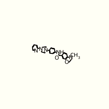 CN1CCOc2cc(C(=O)Nc3ccc(N4CCN(c5ccccn5)CC4)cc3)ccc21